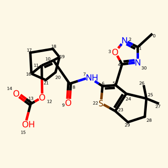 Cc1noc(-c2c(NC(=O)C3=C(OC(=O)O)C4CCC3CC4)sc3c2C(C)(C)CC3)n1